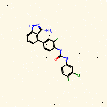 Nc1n[nH]c2cccc(-c3ccc(NC(=O)Nc4ccc(F)c(Cl)c4)c(F)c3)c12